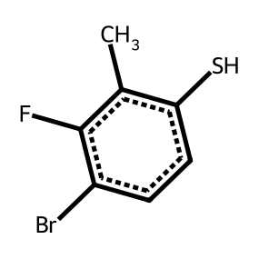 Cc1c(S)ccc(Br)c1F